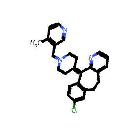 Cc1ccncc1CN1CCC(=C2c3ccc(Cl)cc3CCc3cccnc32)CC1